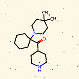 CC1(C)CCN(C2(C(=O)C3CCNCC3)CCCCC2)CC1